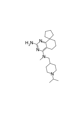 CC(C)N1CCC(CN(C)c2nc(N)nc3c2CCCC32CCCC2)CC1